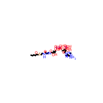 CCCCC(=O)CSCCNC(=O)CCNC(=O)C(O)C(C)(C)COP(=O)(O)OP(=O)(O)OC[C@H]1O[C@@H](n2cnc3c(N)ncnc32)[C@H](O)[C@@H]1OP(=O)(O)O